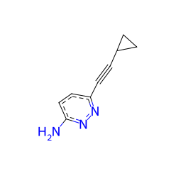 Nc1ccc(C#CC2CC2)nn1